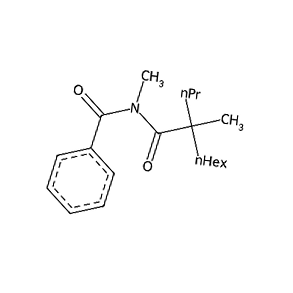 CCCCCCC(C)(CCC)C(=O)N(C)C(=O)c1ccccc1